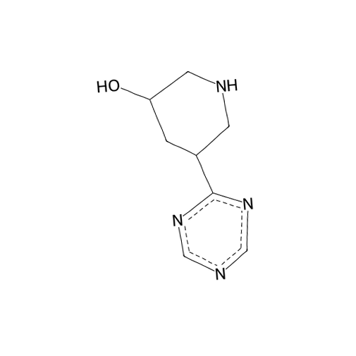 OC1CNCC(c2ncncn2)C1